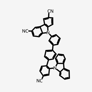 N#Cc1ccc(-c2ccc(-c3cccc(-n4c5ccc(C#N)cc5c5cc(C#N)ccc54)c3)cc2)c(-n2c3ccccc3c3ccccc32)c1